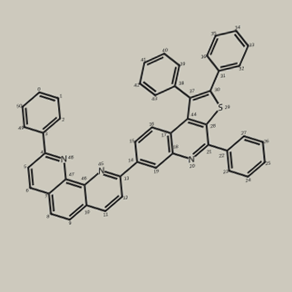 c1ccc(-c2ccc3ccc4ccc(-c5ccc6c(c5)nc(-c5ccccc5)c5sc(-c7ccccc7)c(-c7ccccc7)c56)nc4c3n2)cc1